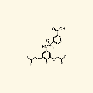 O=C(O)c1cccc(S(=O)(=O)Nc2cc(OCC(F)F)c(F)c(OCC(F)F)c2)c1